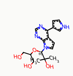 CC(C)(O)[C@@H](OC(CO)CO)n1ccc2c(-c3cc[nH]c3)ncnc21